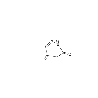 O=C1C=NNC(=O)C1